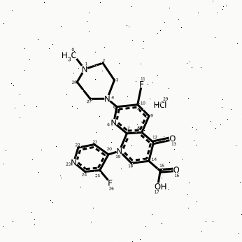 CN1CCN(c2nc3c(cc2F)c(=O)c(C(=O)O)cn3-c2ccncc2F)CC1.Cl